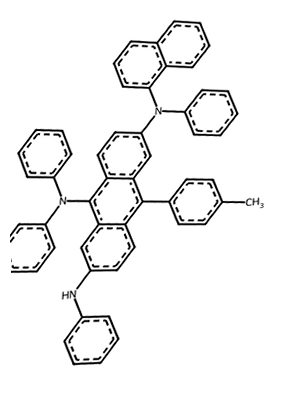 Cc1ccc(-c2c3cc(N(c4ccccc4)c4cccc5ccccc45)ccc3c(N(c3ccccc3)c3ccccc3)c3cc(Nc4ccccc4)ccc23)cc1